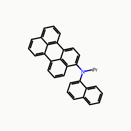 CC(C)N(c1cccc2ccccc12)c1ccc2c3cccc4cccc(c5cccc1c52)c43